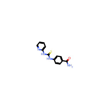 NC(=O)c1ccc(NC(=S)Nc2ccccn2)cc1